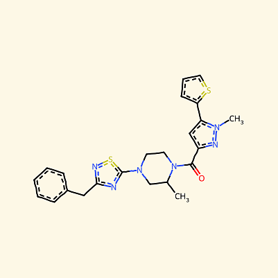 CC1CN(c2nc(Cc3ccccc3)ns2)CCN1C(=O)c1cc(-c2cccs2)n(C)n1